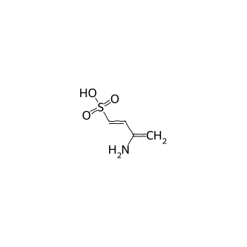 C=C(N)C=CS(=O)(=O)O